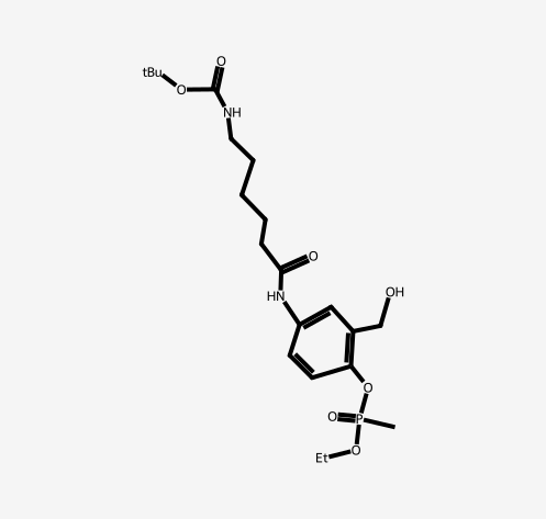 CCOP(C)(=O)Oc1ccc(NC(=O)CCCCCNC(=O)OC(C)(C)C)cc1CO